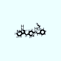 ICOc1ccccc1CNc1ccc(Cc2c[nH]c3ncccc23)cn1